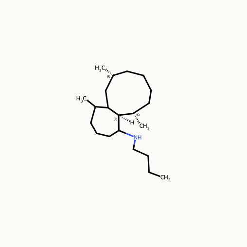 CCCCNC1CCCC(C)C2C[C@H](C)CCCC[C@H](C)[C@@H]12